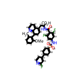 COc1cccc(C)c1-c1ccc(CC(NC(=O)c2c(F)cc(NS(=O)(=O)c3ccc(-c4ccnc(F)c4)cc3)cc2F)C(=O)O)c2cccnc12